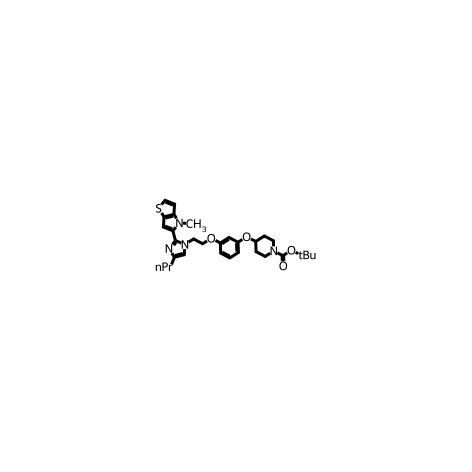 CCCc1cn(CCOc2cccc(OC3CCN(C(=O)OC(C)(C)C)CC3)c2)c(-c2cc3sccc3n2C)n1